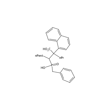 CCCCCC(C(CCC)(C(=O)O)c1cccc2ccccc12)P(=O)(O)Cc1ccccc1